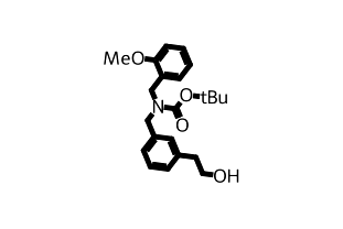 COc1ccccc1CN(Cc1cccc(CCO)c1)C(=O)OC(C)(C)C